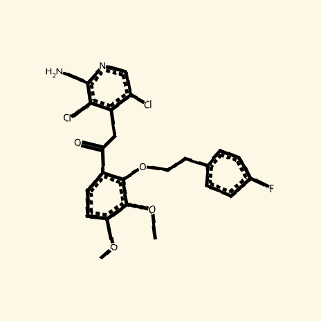 COc1ccc(C(=O)Cc2c(Cl)cnc(N)c2Cl)c(OCCc2ccc(F)cc2)c1OC